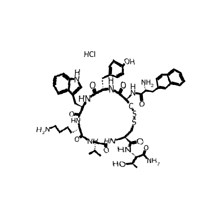 CC(C)[C@@H]1NC(=O)[C@H](CCCCN)NC(=O)[C@@H](Cc2c[nH]c3ccccc23)NC(=O)[C@H](Cc2ccc(O)cc2)NC(=O)[C@@H](NC(=O)[C@H](N)Cc2ccc3ccccc3c2)CSSC[C@@H](C(=O)N[C@H](C(N)=O)[C@@H](C)O)NC1=O.Cl